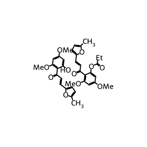 CCC(=O)Oc1cc(OC)cc(OC)c1C(=O)/C=C/c1ccc(C)o1.COc1cc(O)c(C(=O)/C=C/c2ccc(C)o2)c(OC)c1